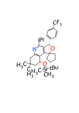 CC(C)c1nc2c(c3c1[C@H](c1ccc(C(F)(F)F)cc1)OC31CCCC1)C(O[Si](C)(C)C(C)(C)C)CC(C)(C)C2